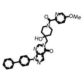 COc1ccc(C(=O)N2CCC(O)(Cn3cnc4c(cnn4-c4ccc(-c5ccccc5)cc4)c3=O)CC2)nc1